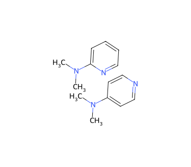 CN(C)c1ccccn1.CN(C)c1ccncc1